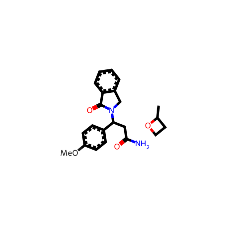 CC1CCO1.COc1ccc(C(CC(N)=O)N2Cc3ccccc3C2=O)cc1